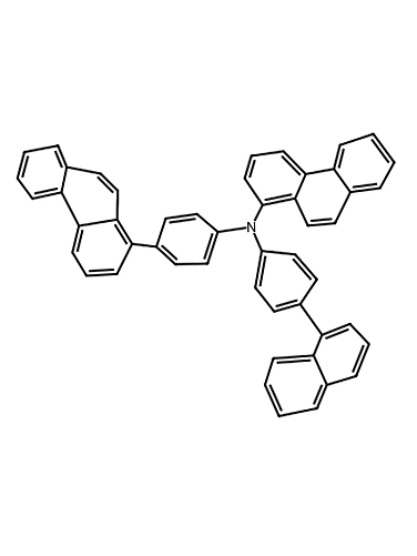 c1ccc2c(-c3ccc(N(c4ccc(-c5cccc6c5ccc5ccccc56)cc4)c4cccc5c4ccc4ccccc45)cc3)cccc2c1